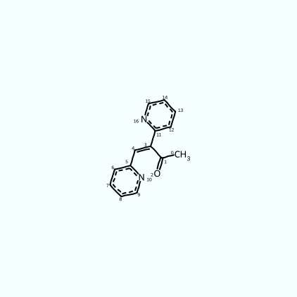 CC(=O)C(=Cc1ccccn1)c1ccccn1